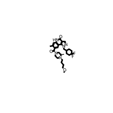 COCCCCN1CCN(C(=O)c2cc3c(cc2C)[nH]c(=O)c2cnn(CC4CCC(F)(F)CC4)c23)C[C@H]1C